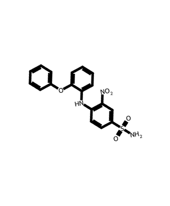 NS(=O)(=O)c1ccc(Nc2ccccc2Oc2ccccc2)c([N+](=O)[O-])c1